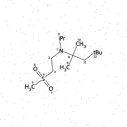 CC(C)N(CCS(C)(=O)=O)C(C)(C)CC(C)(C)C